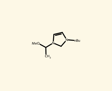 CCCCN1C=CN(C(C)OC)C1